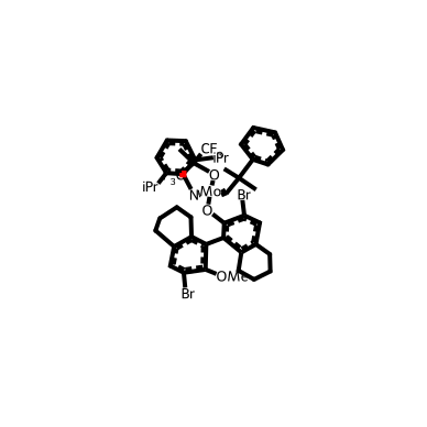 COc1c(Br)cc2c(c1-c1c3c(cc(Br)c1[O][Mo](=[CH]C(C)(C)c1ccccc1)(=[N]c1c(C(C)C)cccc1C(C)C)[O]C(C)(C(F)(F)F)C(F)(F)F)CCCC3)CCCC2